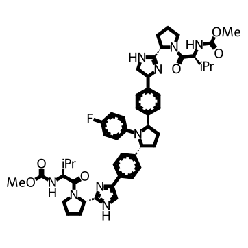 COC(=O)N[C@H](C(=O)N1CCC[C@H]1C1=NC(c2ccc([C@H]3CC[C@H](c4ccc(-c5c[nH]c([C@@H]6CCCN6C(=O)[C@@H](NC(=O)OC)C(C)C)n5)cc4)N3c3ccc(F)cc3)cc2)CN1)C(C)C